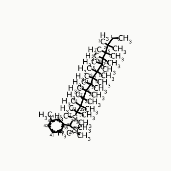 CCC(C)(C)C(C)(C)C(C)(C)C(C)(C)C(C)(C)C(C)(C)C(C)(C)C(C)(C)C(C)(C)C(C)(C)C(C)(C)[Si](C)(C)C(c1cccc(C)c1)[Si](C)(C)C